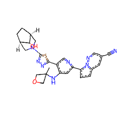 CC1(Nc2cc(-c3ccc4cc(C#N)cnn34)ncc2-c2nnc(N3C[C@H]4CC[C@@H](C3)C4O)s2)COC1